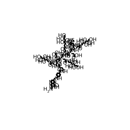 C[C@H](CCC(=O)N[C@@H](CCC(=O)NC[C@H](O)[C@@H](O)[C@H](O)[C@H](O)CO)C(=O)N[C@@H](CCC(=O)O)C(=O)N[C@@H](CCC(=O)NC[C@H](O)[C@@H](O)[C@H](O)[C@H](O)CO)C(=O)N[C@@H](CCC(=O)NC[C@H](O)[C@@H](O)[C@H](O)[C@H](O)CO)C(=O)N[C@@H](CCC(=O)O)C(=O)N[C@@H](CCC(=O)NC[C@H](O)[C@@H](O)[C@H](O)[C@H](O)CO)C(=O)N[C@@H](CS)C(=O)O)NC(=O)c1ccc(NCc2cnc3nc(N)[nH]c(=O)c3n2)cc1